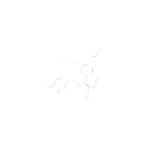 CCOc1cc2ncc(C#N)c(NCc3ccc(Cl)c(Cl)c3)c2cc1OCC